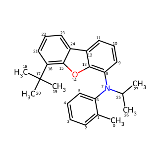 Cc1ccccc1N(c1cccc2c1oc1c(C(C)(C)C)cccc12)C(C)C